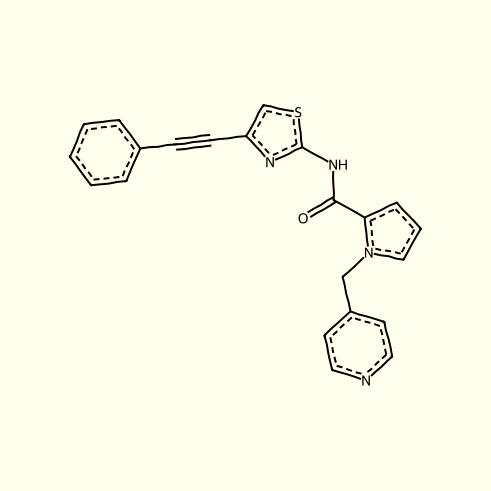 O=C(Nc1nc(C#Cc2ccccc2)cs1)c1cccn1Cc1ccncc1